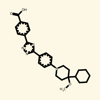 COC1(C2CCCCC2)CCN(c2ccc(-c3nnc(-c4ccc(C(=O)O)cc4)s3)cc2)CC1